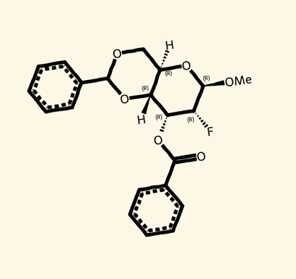 CO[C@@H]1O[C@@H]2COC(c3ccccc3)O[C@H]2[C@@H](OC(=O)c2ccccc2)[C@H]1F